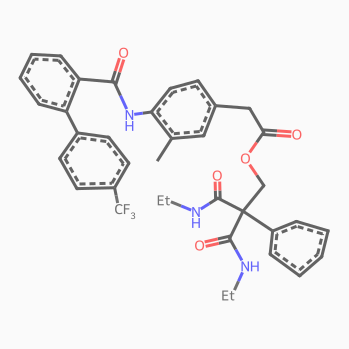 CCNC(=O)C(COC(=O)Cc1ccc(NC(=O)c2ccccc2-c2ccc(C(F)(F)F)cc2)c(C)c1)(C(=O)NCC)c1ccccc1